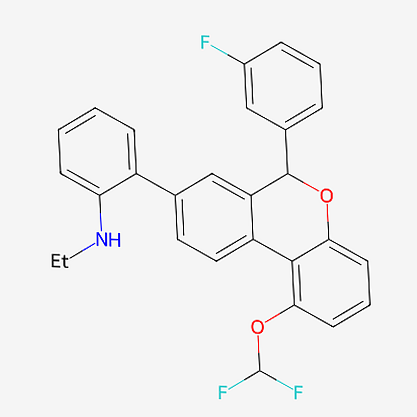 CCNc1ccccc1-c1ccc2c(c1)C(c1cccc(F)c1)Oc1cccc(OC(F)F)c1-2